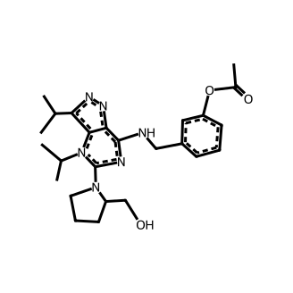 CC(=O)Oc1cccc(CNc2nc(N3CCCC3CO)n(C(C)C)c3c(C(C)C)nnc2-3)c1